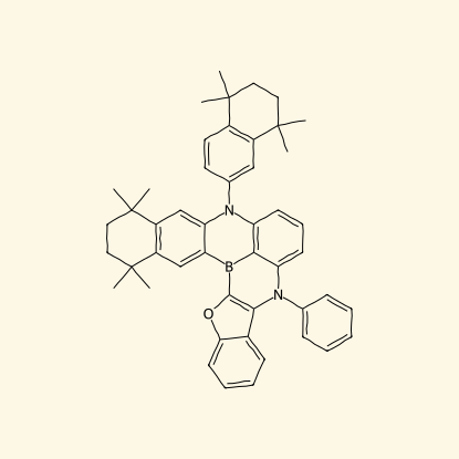 CC1(C)CCC(C)(C)c2cc(N3c4cc5c(cc4B4c6oc7ccccc7c6N(c6ccccc6)c6cccc3c64)C(C)(C)CCC5(C)C)ccc21